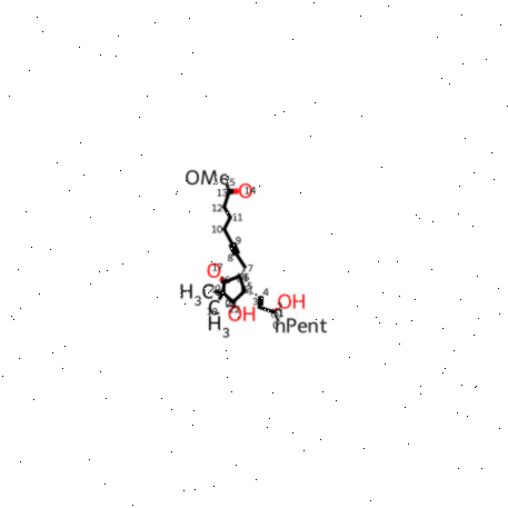 CCCCC[C@H](O)C=C[C@H]1[C@@H](CC#CCCCC(=O)OC)C(=O)C(C)(C)[C@H]1O